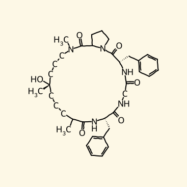 CC1CCC[C@](C)(O)CCCN(C)C(=O)C2CCCN2C(=O)[C@H](Cc2ccccc2)NC(=O)CNC(=O)[C@H](Cc2ccccc2)NC1=O